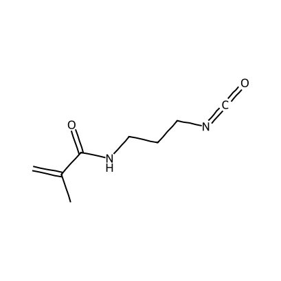 C=C(C)C(=O)NCCCN=C=O